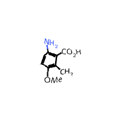 COc1ccc(N)c(C(=O)O)c1C